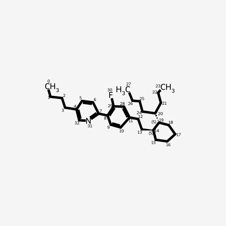 CCCCc1ccc(-c2ccc(CC[C@@H]3CCCC[C@H]3C(CCC)CCCC)cc2F)nc1